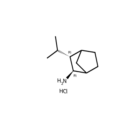 CC(C)[C@@H]1C2CCC(C2)[C@H]1N.Cl